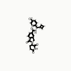 O=C1CCC(N2Cc3cc(C(=O)N[C@H](c4ccc(Cl)cn4)C4CCC4)ccc3C2=O)C(=O)N1